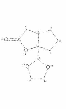 O=C1CC2CCCC2(C2OCCO2)O1